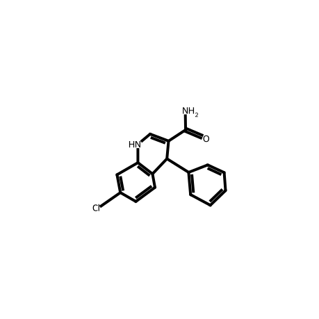 NC(=O)C1=CNc2cc(Cl)ccc2C1c1ccccc1